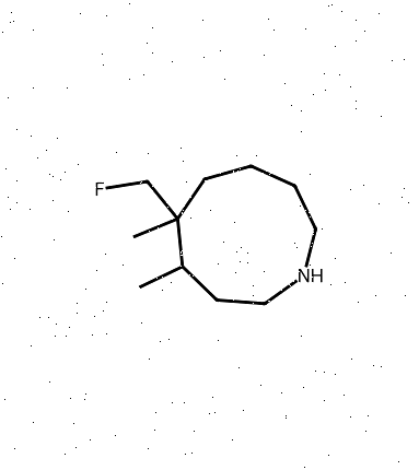 CC1CCNCCCCC1(C)CF